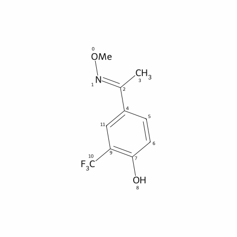 CON=C(C)c1ccc(O)c(C(F)(F)F)c1